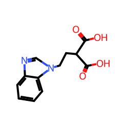 O=C(O)C(CCn1cnc2ccccc21)C(=O)O